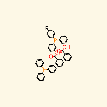 O=C(O)c1ccccc1.O=C(O)c1ccccc1.[Ru].c1ccc(P(c2ccccc2)c2ccccc2)cc1.c1ccc(P(c2ccccc2)c2ccccc2)cc1